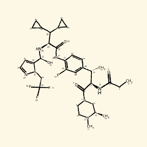 CCC(=O)N[C@@H](C(=O)N1CCN(C)[C@H](C)C1)[C@@H](C)c1ccc(NC(=O)[C@@H](NC(O)c2ccnn2CC(F)(F)F)C(C2CC2)C2CC2)c(F)c1